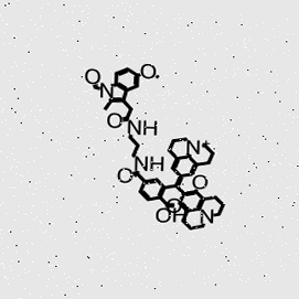 COc1ccc2c(c1)c(CC(=O)NCCCNC(=O)c1ccc(C(=O)O)c(C3=c4cc5c6c(c4Oc4c3cc3c7c4CCCN7CCC3)CCC[N+]=6CCC5)c1)c(C)n2C=O